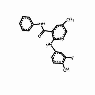 Cc1cnc(Nc2ccc(O)c(F)c2)c(C(=O)Nc2ccccc2)c1